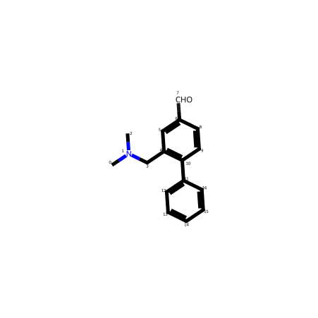 CN(C)Cc1cc(C=O)ccc1-c1ccccc1